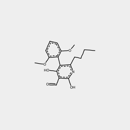 CCCCc1nc(O)c(C=O)c(O)c1-c1c(OC)cccc1OC